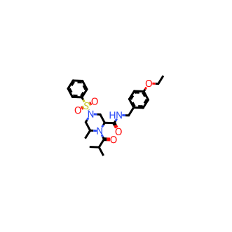 CCOc1ccc(CNC(=O)C2CN(S(=O)(=O)c3ccccc3)CC(C)N2C(=O)C(C)C)cc1